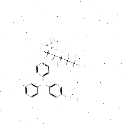 CC(C)(C)c1ccc([S+](c2ccccc2)c2ccccc2)cc1.O=S(=O)([O-])C(F)(F)C(F)(F)C(F)(F)C(F)(F)C(F)(F)C(F)(F)F